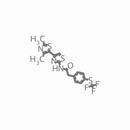 Cc1nc(C)c(-c2csc(NC(=O)Cc3ccc(SC(F)(F)F)cc3)n2)s1